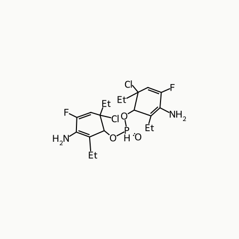 CCC1=C(N)C(F)=CC(Cl)(CC)C1O[PH](=O)OC1C(CC)=C(N)C(F)=CC1(Cl)CC